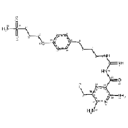 N=C(NCCCCc1ccc(OCCCS(N)(=O)=O)cc1)NC(=O)c1nc(CI)c(N)nc1N